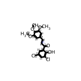 COc1cc(/C=C/C(=O)c2cc(Cl)cc(Cl)c2O)cc(OC)c1OC